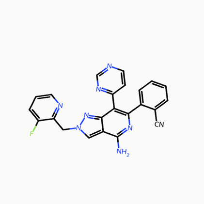 N#Cc1ccccc1-c1nc(N)c2cn(Cc3ncccc3F)nc2c1-c1ccncn1